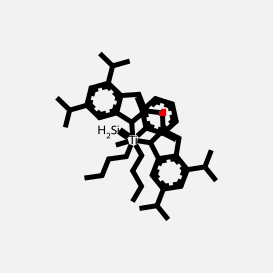 CCC[CH2][Ti]([CH3])(=[SiH2])([CH2]CCC)([c]1ccccc1)([CH]1C(C)=Cc2c(C(C)C)cc(C(C)C)cc21)[CH]1C(C)=Cc2c(C(C)C)cc(C(C)C)cc21